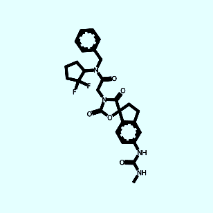 CNC(=O)Nc1ccc2c(c1)CCC21OC(=O)N(CC(=O)N(Cc2ccccc2)C2CCCC2(F)F)C1=O